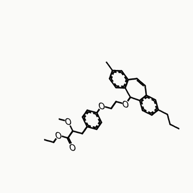 CCCc1ccc2c(c1)C=Cc1cc(C)ccc1C2OCCOc1ccc(CC(OC)C(=O)OCC)cc1